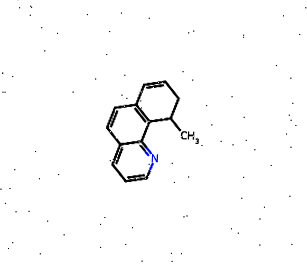 CC1CC=Cc2ccc3cccnc3c21